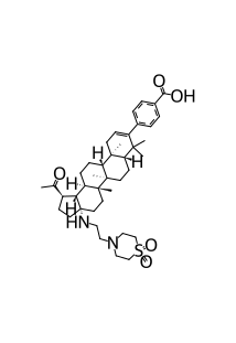 CC(=O)[C@@H]1CC[C@]2(NCCN3CCS(=O)(=O)CC3)CC[C@]3(C)[C@H](CC[C@@H]4[C@@]5(C)CC=C(c6ccc(C(=O)O)cc6)C(C)(C)[C@@H]5CC[C@]43C)[C@@H]12